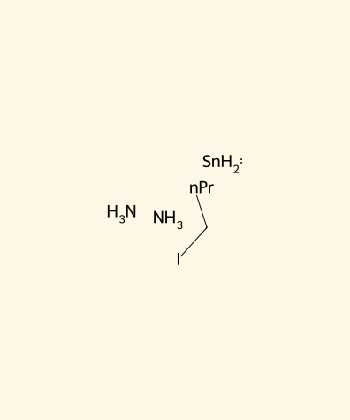 CCCCI.N.N.[SnH2]